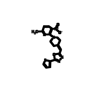 Cc1ccc([N+](=O)[O-])c(N2CCC(=Cc3nnc(-c4cccs4)o3)CC2)n1